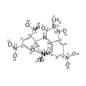 C=CC(=O)N(c1c([N+](=O)[O-])cc([N+](=O)[O-])cc1[N+](=O)[O-])c1c([N+](=O)[O-])cc([N+](=O)[O-])cc1[N+](=O)[O-]